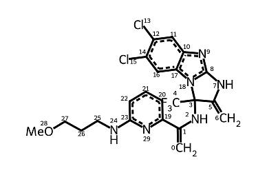 C=C(NC1(C(F)(F)F)C(=C)Nc2nc3cc(Cl)c(Cl)cc3n21)c1cccc(NCCCOC)n1